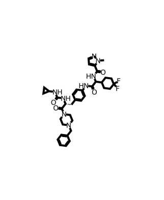 Cn1nccc1C(=O)NC(C(=O)Nc1ccc(C[C@@H](NC(=O)NC2CC2)C(=O)N2CCN(Cc3ccccc3)CC2)cc1)C1CCC(F)(F)CC1